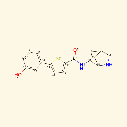 O=C(NC1CC2CNC1C2)c1ccc(-c2cccc(O)c2)s1